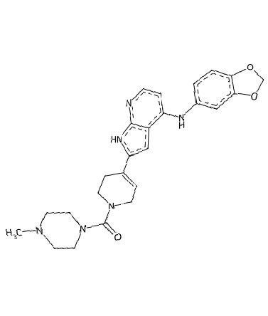 CN1CCN(C(=O)N2CC=C(c3cc4c(Nc5ccc6c(c5)OCO6)ccnc4[nH]3)CC2)CC1